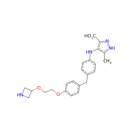 Cc1[nH]nc(C(=O)O)c1Nc1ccc(Cc2ccc(OCCOC3CNC3)cc2)cc1